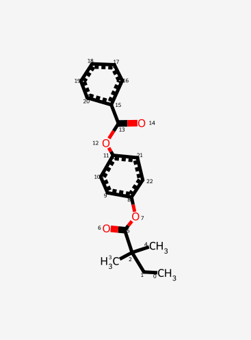 CCC(C)(C)C(=O)Oc1ccc(OC(=O)c2ccccc2)cc1